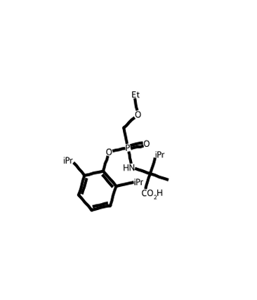 CCOCP(=O)(NC(C)(C(=O)O)C(C)C)Oc1c(C(C)C)cccc1C(C)C